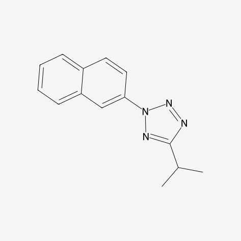 CC(C)c1nnn(-c2ccc3ccccc3c2)n1